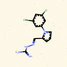 N=C(N)N/N=C/c1cccn1-c1cc(Cl)cc(Cl)c1